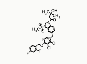 CC(C)(O)CC(=O)N1CN(S(C)(=O)=O)c2cc(Cn3cnc(OCc4ccc(F)cc4F)c(Cl)c3=O)ccc21